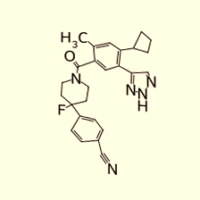 Cc1cc(C2CCC2)c(-c2cn[nH]n2)cc1C(=O)N1CCC(F)(c2ccc(C#N)cc2)CC1